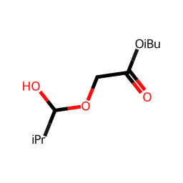 CC(C)COC(=O)COC(O)C(C)C